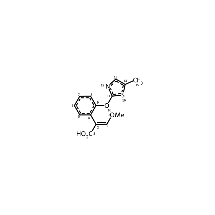 CO/C=C(/C(=O)O)c1ccccc1Oc1ncc(C(F)(F)F)s1